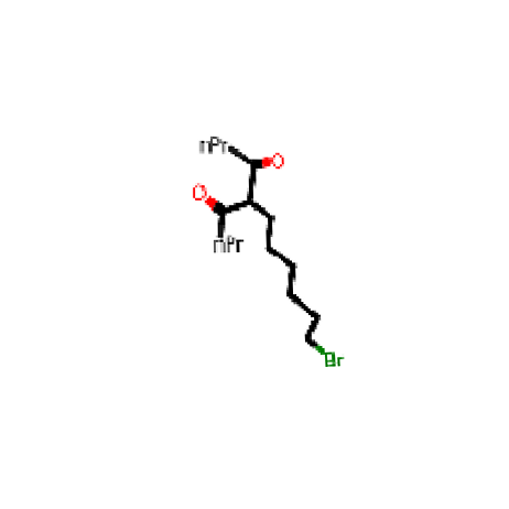 CCCC(=O)C(CCCCCCBr)C(=O)CCC